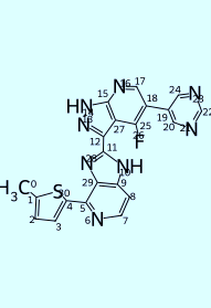 Cc1ccc(-c2nccc3[nH]c(-c4n[nH]c5ncc(-c6cncnc6)c(F)c45)nc23)s1